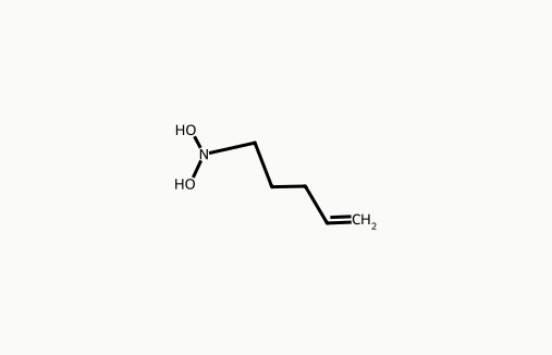 C=CCCCN(O)O